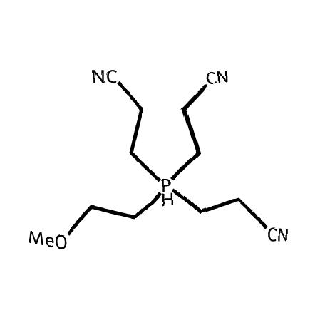 COCC[PH](CCC#N)(CCC#N)CCC#N